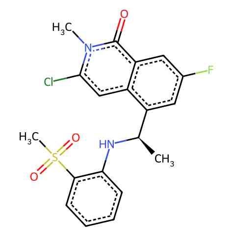 C[C@@H](Nc1ccccc1S(C)(=O)=O)c1cc(F)cc2c(=O)n(C)c(Cl)cc12